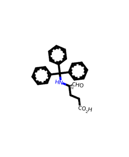 O=C[C@H](CCC(=O)O)NC(c1ccccc1)(c1ccccc1)c1ccccc1